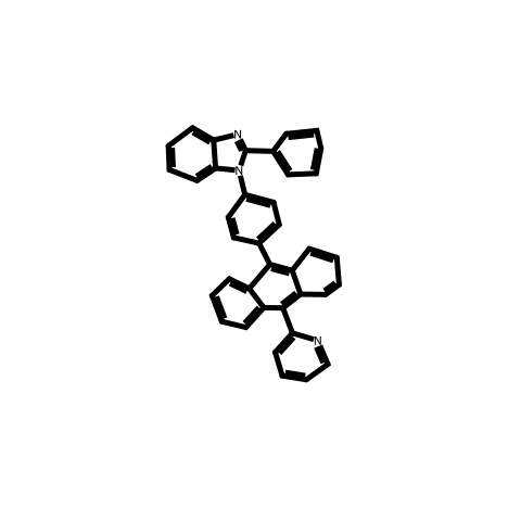 c1ccc(-c2nc3ccccc3n2-c2ccc(-c3c4ccccc4c(-c4ccccn4)c4ccccc34)cc2)cc1